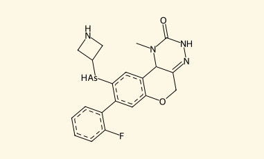 CN1C(=O)NN=C2COc3cc(-c4ccccc4F)c([AsH]C4CNC4)cc3C21